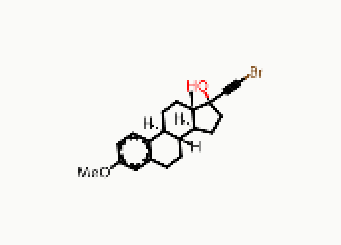 COc1ccc2c(c1)CC[C@@H]1[C@@H]2CC[C@@]2(C)[C@H]1CC[C@@]2(O)C#CBr